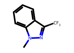 Cn1nc(C(F)(F)F)c2ccccc21